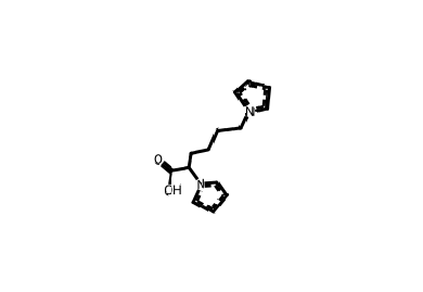 O=C(O)C(CCCCn1cccc1)n1cccc1